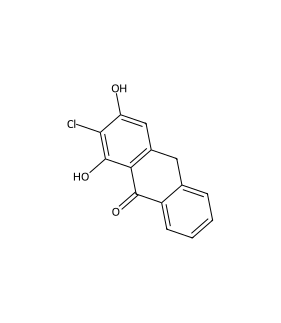 O=C1c2ccccc2Cc2cc(O)c(Cl)c(O)c21